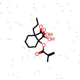 C=C(C)C(=O)OC1(C(=O)O)CCCCC1(CCC)C(=O)O